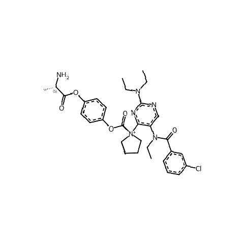 CCN(CC)c1ncc(N(CC)C(=O)c2cccc(Cl)c2)c([N+]2(C(=O)Oc3ccc(OC(=O)[C@H](C)N)cc3)CCCC2)n1